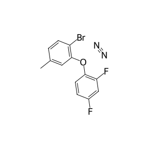 Cc1ccc(Br)c(Oc2ccc(F)cc2F)c1.N#N